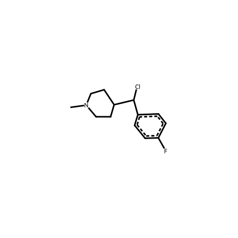 CN1CCC(C(Cl)c2ccc(F)cc2)CC1